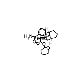 COC1(c2cccc(C(N)=O)c2)[C@@H]2CCC[C@H]1CN(CC1(OC3CCCCO3)CC1)C2